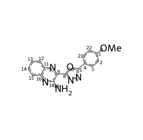 COc1ccc(-c2nnc(-c3nc4ccccc4nc3N)o2)cc1